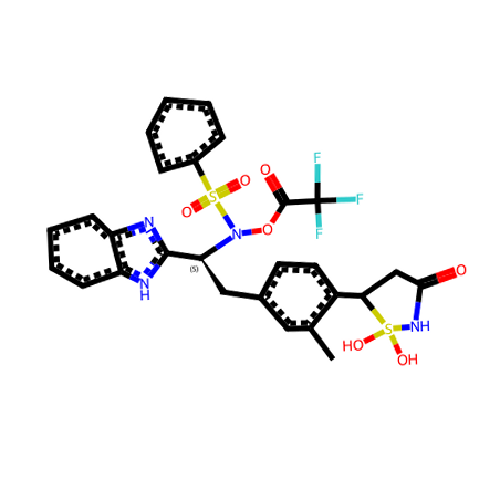 Cc1cc(C[C@@H](c2nc3ccccc3[nH]2)N(OC(=O)C(F)(F)F)S(=O)(=O)c2ccccc2)ccc1C1CC(=O)NS1(O)O